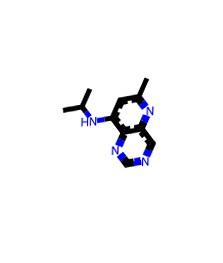 Cc1cc(NC(C)C)c2ncncc2n1